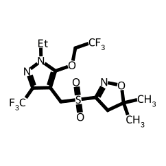 CCn1nc(C(F)(F)F)c(CS(=O)(=O)C2=NOC(C)(C)C2)c1OCC(F)(F)F